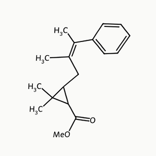 COC(=O)C1C(CC(C)=C(C)c2ccccc2)C1(C)C